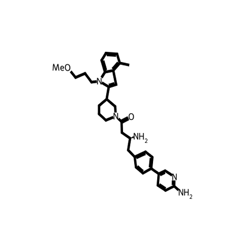 COCCCn1c(C2CCCN(C(=O)C[C@H](N)Cc3ccc(-c4ccc(N)nc4)cc3)C2)cc2c(C)cccc21